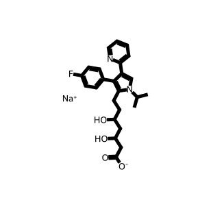 CC(C)n1cc(-c2ccccn2)c(-c2ccc(F)cc2)c1CCC(O)CC(O)CC(=O)[O-].[Na+]